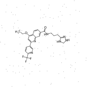 CCOc1cc(-c2ccc(C(F)(F)F)nc2)nc2cc(C(=O)NCCCC3=NNCN3)ccc12